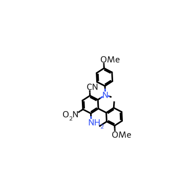 COc1ccc(N(C)c2c(C#N)cc([N+](=O)[O-])c(N)c2-c2c(C)ccc(OC)c2C)cc1